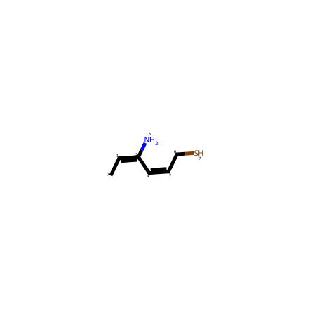 C/C=C(N)\C=C/CS